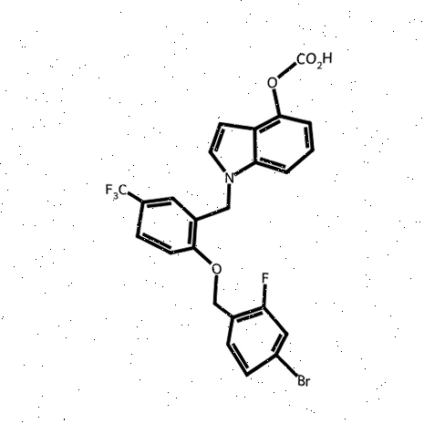 O=C(O)Oc1cccc2c1ccn2Cc1cc(C(F)(F)F)ccc1OCc1ccc(Br)cc1F